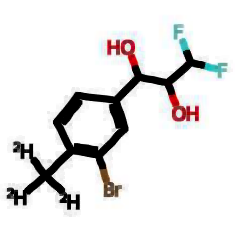 [2H]C([2H])([2H])c1ccc(C(O)C(O)C(F)F)cc1Br